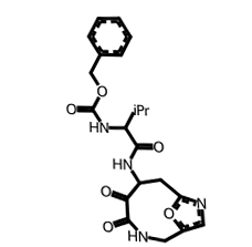 CC(C)C(NC(=O)OCc1ccccc1)C(=O)NC1Cc2ncc(o2)CNC(=O)C1=O